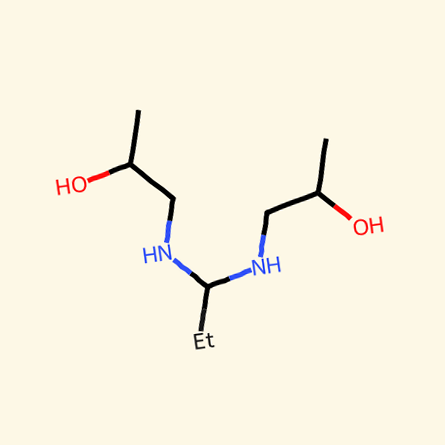 CCC(NCC(C)O)NCC(C)O